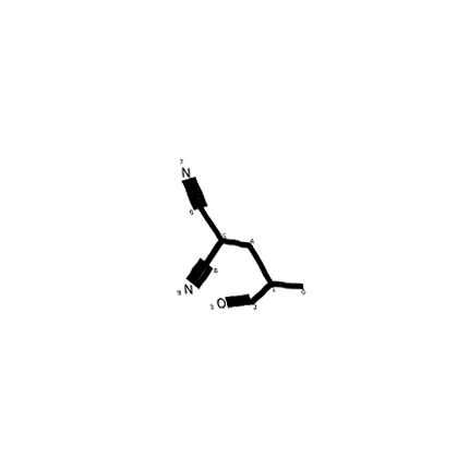 CC(C=O)CC(C#N)C#N